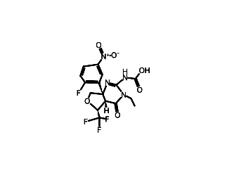 CCN1C(=O)[C@@H]2[C@@H](C(F)(F)F)OC[C@]2(c2cc([N+](=O)[O-])ccc2F)N=C1NC(=O)O